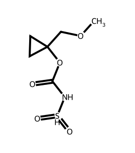 COCC1(OC(=O)N[SH](=O)=O)CC1